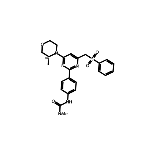 CNC(=O)Nc1ccc(-c2nc(CS(=O)(=O)c3ccccc3)cc(N3CCOC[C@@H]3C)n2)cc1